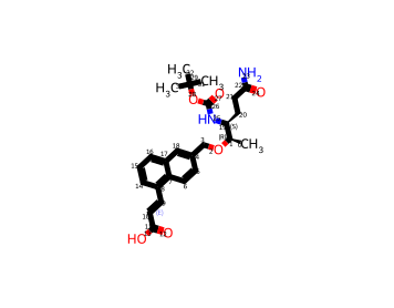 C[C@@H](OCc1ccc2c(/C=C/C(=O)O)cccc2c1)[C@H](CCC(N)=O)NC(=O)OC(C)(C)C